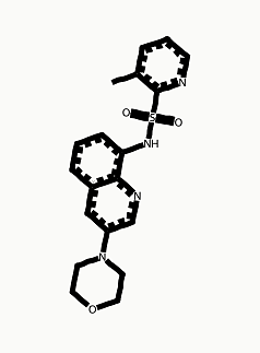 Cc1cccnc1S(=O)(=O)Nc1cccc2cc(N3CCOCC3)cnc12